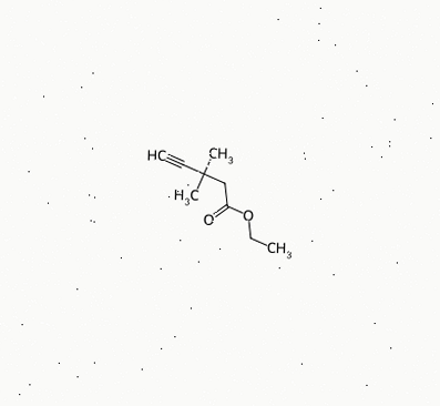 C#CC(C)(C)CC(=O)OCC